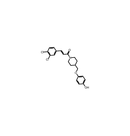 O=C(/C=C/c1ccc(Cl)c(Cl)c1)N1CCC(COc2ccc(O)cc2)CC1